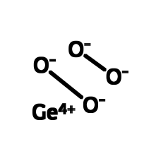 [Ge+4].[O-][O-].[O-][O-]